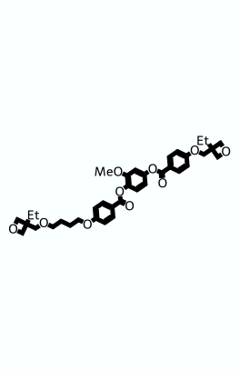 CCC1(COCCCCOc2ccc(C(=O)Oc3ccc(OC(=O)c4ccc(OCC5(CC)COC5)cc4)cc3OC)cc2)COC1